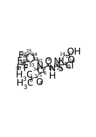 CC(C)C(=O)c1cc(C(=O)Nc2nc(CC(=O)O)c(Cl)s2)n(Cc2ccc(F)c(C(F)(F)F)c2)c1